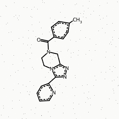 Cc1ccc(C(=O)N2CCn3c(nnc3-c3ccccn3)C2)cc1